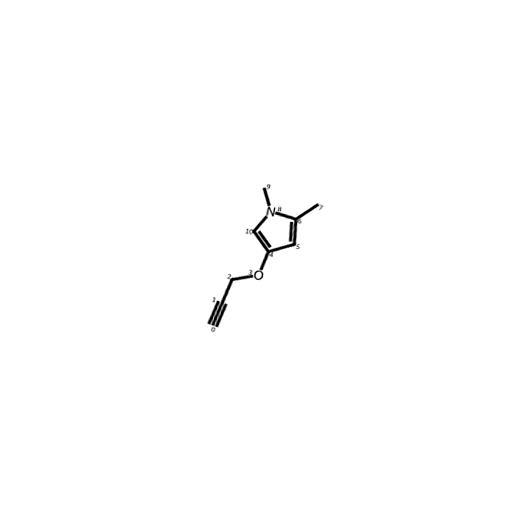 C#CCOc1cc(C)n(C)c1